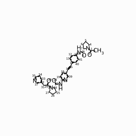 CC(=O)N1CCC[C@H]1C(=O)Nc1ccc(C#Cc2ccc(NC(=O)[C@@H]3CCCN3C(=O)Cc3cccnc3)nc2)cc1